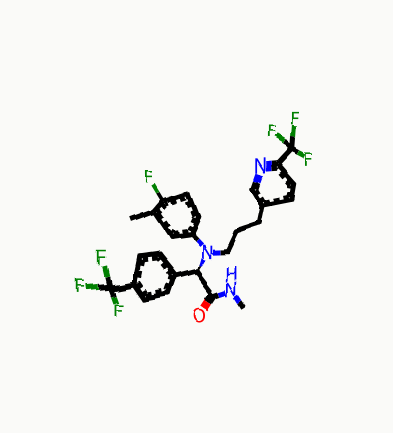 CNC(=O)[C@@H](c1ccc(C(F)(F)F)cc1)N(CCCc1ccc(C(F)(F)F)nc1)c1ccc(F)c(C)c1